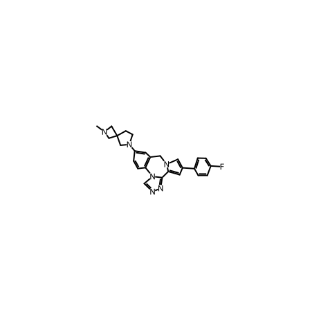 CN1CC2(CCN(c3ccc4c(c3)Cn3cc(-c5ccc(F)cc5)cc3-c3nncn3-4)C2)C1